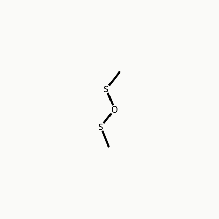 CSOSC